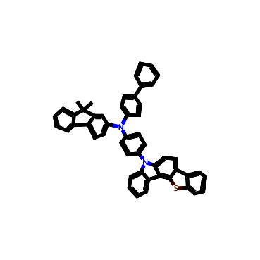 CC1(C)c2ccccc2-c2ccc(N(c3ccc(-c4ccccc4)cc3)c3ccc(-n4c5ccccc5c5c6sc7ccccc7c6ccc54)cc3)cc21